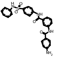 Nc1ccc(C(=O)Nc2cccc(C(=O)Nc3ccc(S(=O)(=O)Nc4ccccc4)cc3)c2)cc1